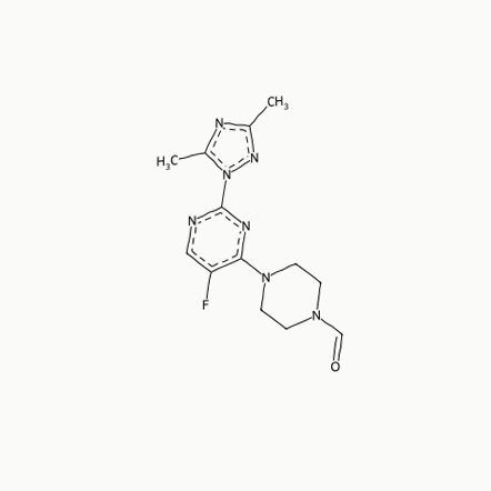 Cc1nc(C)n(-c2ncc(F)c(N3CCN(C=O)CC3)n2)n1